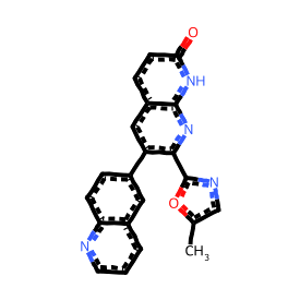 Cc1cnc(-c2nc3[nH]c(=O)ccc3cc2-c2ccc3ncccc3c2)o1